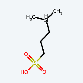 C[SiH](C)CCCS(=O)(=O)O